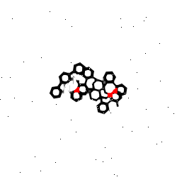 Cc1ccccc1-c1ccccc1C12CCCC34CC(CC5(CC(C1)c1ccccc1-c1ccccc15)C23)c1ccccc1-c1c(-n2c3ccccc3c3ccc5c6ccccc6n(-c6ccccc6)c5c32)cccc14